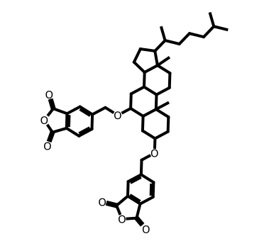 CC(C)CCCC(C)C1CCC2C3CC(OCc4ccc5c(c4)C(=O)OC5=O)C4CC(OCc5ccc6c(c5)C(=O)OC6=O)CCC4(C)C3CCC12C